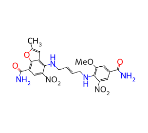 COc1cc(C(N)=O)cc([N+](=O)[O-])c1NCC=CCNc1c([N+](=O)[O-])cc(C(N)=O)c2oc(C)cc12